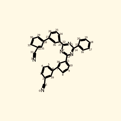 N#Cc1cccc(-c2cccc(-c3nc(-c4ccccc4)nc(-c4cccc(-c5cccc(C#N)c5)c4)n3)c2)c1